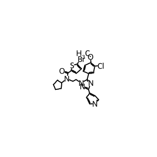 COc1ccc(-c2nc(-c3ccncc3)nn2CCN(C(=O)c2ccc(Br)s2)C2CCCC2)cc1Cl